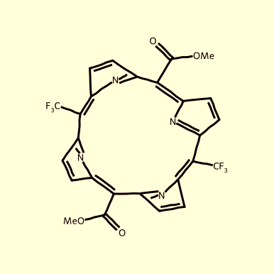 COC(=O)C1=C2C=CC(=N2)C(C(F)(F)F)=C2C=CC(=N2)C(C(=O)OC)=C2C=CC(=N2)C(C(F)(F)F)=C2C=CC1=N2